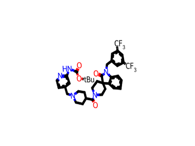 CC(C)(C)OC(=O)Nc1cc(CN2CCC(C(=O)N3CCC4(CC3)C(=O)N(Cc3cc(C(F)(F)F)cc(C(F)(F)F)c3)c3ccccc34)CC2)ccn1